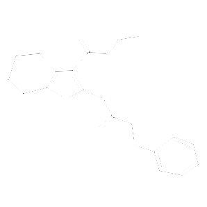 CCOC(=O)c1c(NC(=O)COc2ccccc2)sc2c1CCCC2